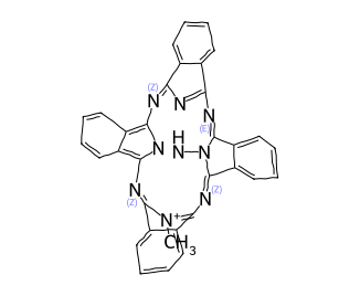 C[N+]1=C2/N=c3/c4ccccc4/c4n3Nn3c(c5ccccc5c3/N=C1/c1ccccc12)/N=C1N=C(/N=4)c2ccccc2\1